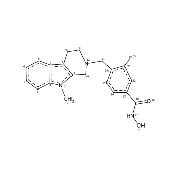 Cn1c2c(c3ccccc31)CCN(Cc1ccc(C(=O)NO)cc1F)C2